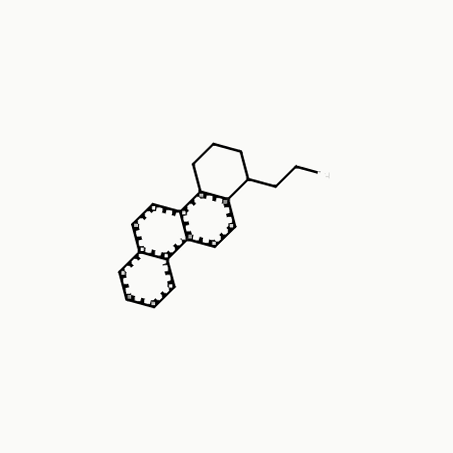 BrCCC1CCCc2c1ccc1c2ccc2ccccc21